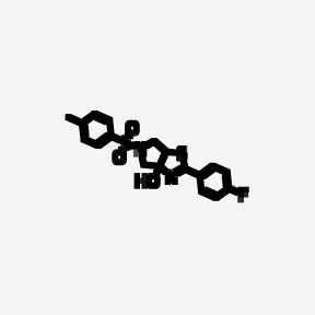 Cc1ccc(S(=O)(=O)N2CC3SC(c4ccc(F)cc4)=NC3(O)C2)cc1